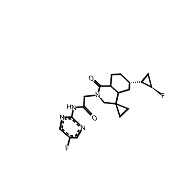 O=C(CN1CC2(CC2)C2C[C@@H](C3C[C@H]3F)CCC2C1=O)Nc1ncc(F)cn1